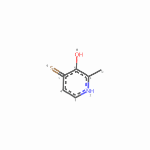 Cc1[nH]ccc(=S)c1O